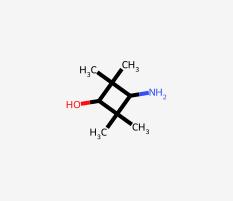 CC1(C)C(N)C(C)(C)C1O